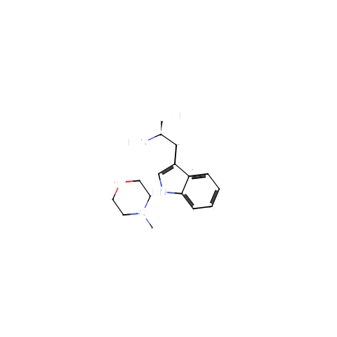 CN1CCOCC1.N[C@H](Cc1c[nH]c2ccccc12)C(=O)O